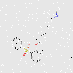 CNCCCCCCOc1ccccc1S(=O)(=O)c1ccccc1